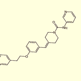 O=C(Nc1cccnc1)N1CCC(=Cc2cccc(OCCc3cccc(F)c3)c2)CC1